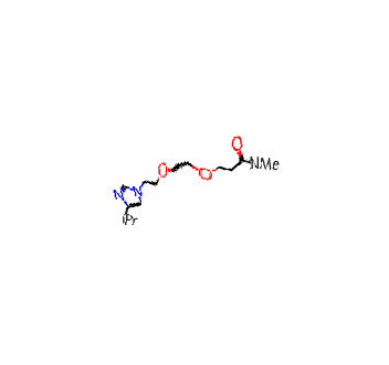 CNC(=O)CCOCCOCCn1cnc(C(C)C)c1